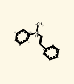 C[SiH](C=Cc1ccccc1)c1ccccc1